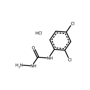 Cl.NNC(=O)Nc1ccc(Cl)cc1Cl